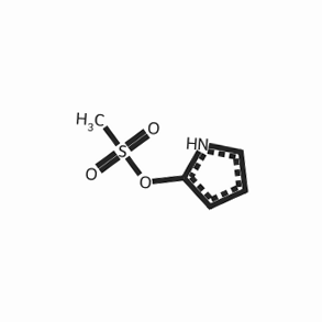 CS(=O)(=O)Oc1ccc[nH]1